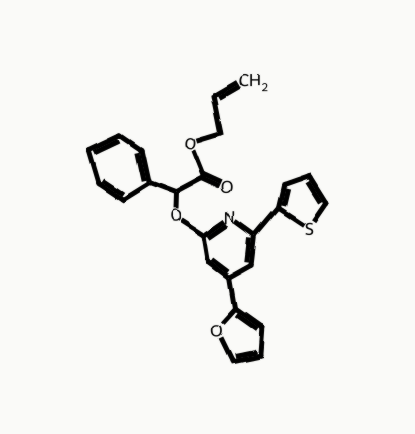 C=CCOC(=O)C(Oc1cc(-c2ccco2)cc(-c2cccs2)n1)c1ccccc1